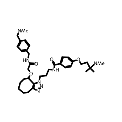 CNCc1ccc(CNC(=O)COC2CCCCCc3nnn(CCCNC(=O)c4ccc(OCCC(C)(C)NC)cc4)c32)cc1